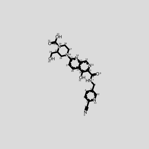 N#Cc1ccc(CNC(=O)c2ncc3nc(N4CCN(C(=O)O)C(CO)C4)ccc3c2O)cn1